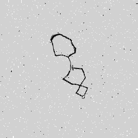 C1CCC(N2CCC3(CC2)COC3)CC1